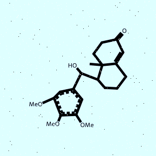 COc1cc(C(O)C2CCCC3=CC(=O)CCC32C)cc(OC)c1OC